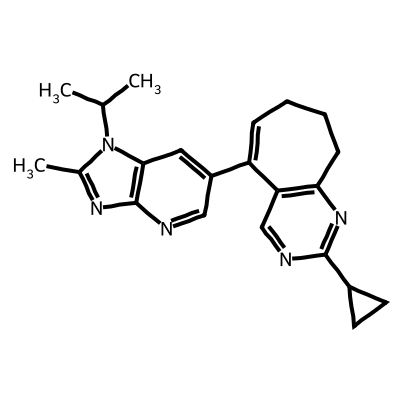 Cc1nc2ncc(C3=CCCCc4nc(C5CC5)ncc43)cc2n1C(C)C